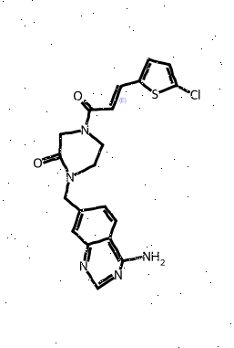 Nc1ncnc2cc(CN3CCN(C(=O)/C=C/c4ccc(Cl)s4)CC3=O)ccc12